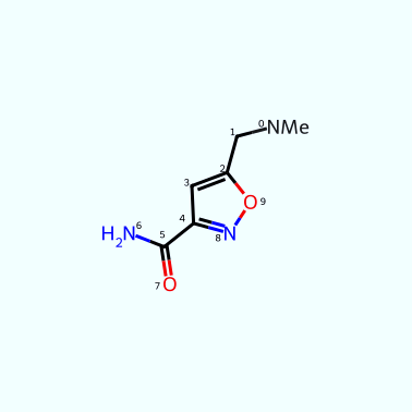 CNCc1cc(C(N)=O)no1